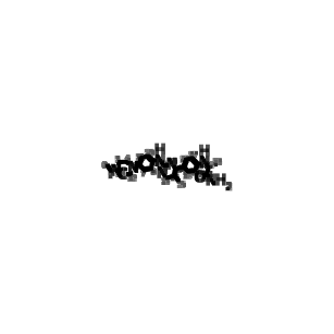 CCN1CCN(c2ccc(Nc3ncc(C)c(-c4ccc(N[C@H](C)C(N)=O)cc4)n3)cc2)CC1